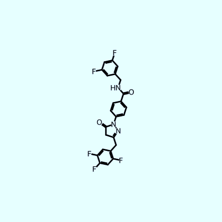 O=C(NCc1cc(F)cc(F)c1)c1ccc(N2N=C(Cc3cc(F)c(F)cc3F)CC2=O)cc1